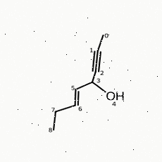 CC#CC(O)C=CCC